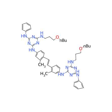 CCCCOCCCNc1nc(Nc2ccccc2)nc(Nc2ccc(C=Cc3ccc(Nc4nc(NCCCOCCCC)nc(Nc5ccccc5)n4)cc3C)c(C)c2)n1